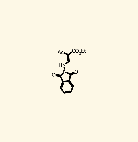 CCOC(=O)C(=CNN1C(=O)c2ccccc2C1=O)C(C)=O